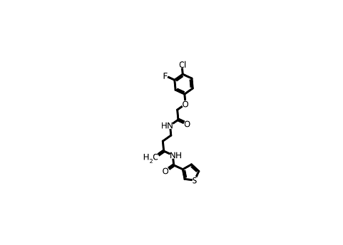 C=C(CCNC(=O)COc1ccc(Cl)c(F)c1)NC(=O)c1ccsc1